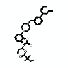 C=C/C=C(\C=C/C)c1cccc(CN2CCN(c3cccc4c3oc(=O)n4C(CC)OC(=O)C(C)(C)CC)CC2)c1